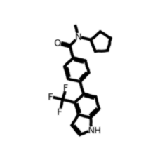 CN(C(=O)c1ccc(-c2ccc3[nH]ccc3c2C(F)(F)F)cc1)C1CCCC1